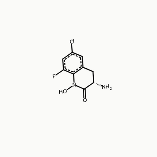 N[C@H]1Cc2cc(Cl)cc(F)c2N(O)C1=O